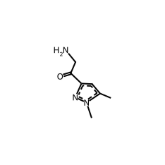 Cc1cc(C(=O)CN)nn1C